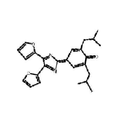 CC(C)CC1=CC(=C2N=C(c3ccco3)C(c3ccco3)=N2)C=C(CC(C)C)C1=O